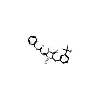 O=C(/N=C1\NC(=O)C(Cc2cccc(C(F)(F)F)c2)[S+]1[O-])Oc1ccccc1